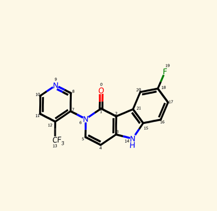 O=c1c2c(ccn1-c1cnccc1C(F)(F)F)[nH]c1ccc(F)cc12